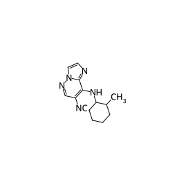 [C-]#[N+]c1cnn2ccnc2c1NC1CCCCC1C